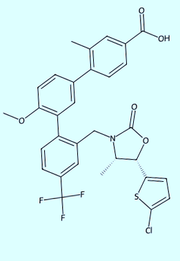 COc1ccc(-c2ccc(C(=O)O)cc2C)cc1-c1ccc(C(F)(F)F)cc1CN1C(=O)O[C@H](c2ccc(Cl)s2)[C@@H]1C